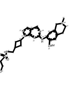 COCCS(=O)(=O)NCC1CC(n2ncc3cnc(Nc4cc5c(cc4OC)CCN(C)C5)nc32)C1